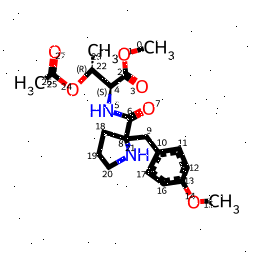 COC(=O)[C@@H](NC(=O)C1(Cc2ccc(OC)cc2)CCCN1)[C@@H](C)OC(C)=O